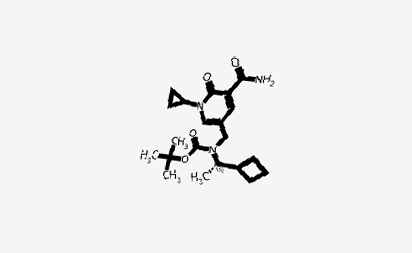 C[C@@H](C1CCC1)N(Cc1cc(C(N)=O)c(=O)n(C2CC2)c1)C(=O)OC(C)(C)C